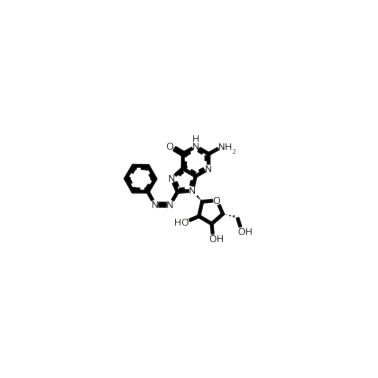 Nc1nc2c(nc(/N=N\c3ccccc3)n2[C@@H]2O[C@H](CO)C(O)C2O)c(=O)[nH]1